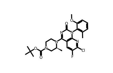 COc1cccc(C)c1-n1c(=O)nc(N2CCN(C(=O)OC(C)(C)C)C[C@@H]2C)c2cc(F)c(Cl)nc21